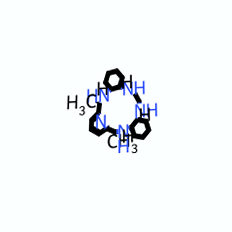 C[C@@H]1N[C@H]2CCCC[C@H]2NCCN[C@@H]2CCCC[C@@H]2N[C@@H](C)c2cccc1n2